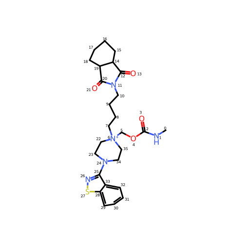 CNC(=O)OC[N+]1(CCCCN2C(=O)C3CCCCC3C2=O)CCN(c2nsc3ccccc23)CC1